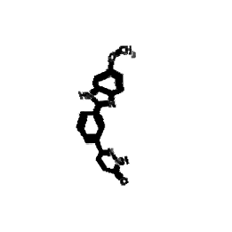 COc1ccc2nc(-c3[c]ccc(-c4ccc(=O)[nH]n4)c3)[nH]c2c1